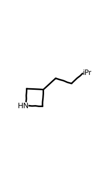 CC(C)CCC1CNC1